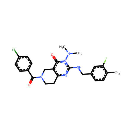 CN(C)n1c(NCc2ccc(C(F)(F)F)c(F)c2)nc2c(c1=O)CN(C(=O)c1ccc(Cl)cc1)CC2